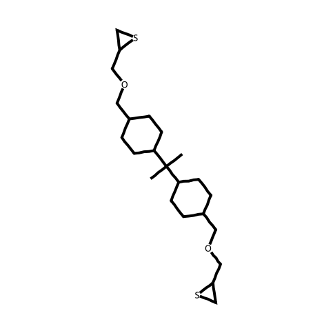 CC(C)(C1CCC(COCC2CS2)CC1)C1CCC(COCC2CS2)CC1